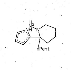 CCCCCC1(c2ccc[nH]2)CCCCN1N